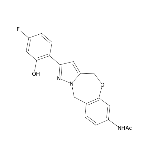 CC(=O)Nc1ccc2c(c1)OCc1cc(-c3ccc(F)cc3O)nn1C2